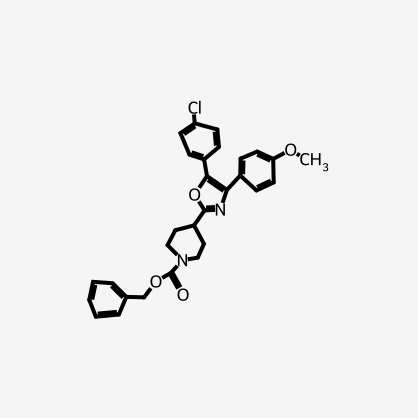 COc1ccc(-c2nc(C3CCN(C(=O)OCc4ccccc4)CC3)oc2-c2ccc(Cl)cc2)cc1